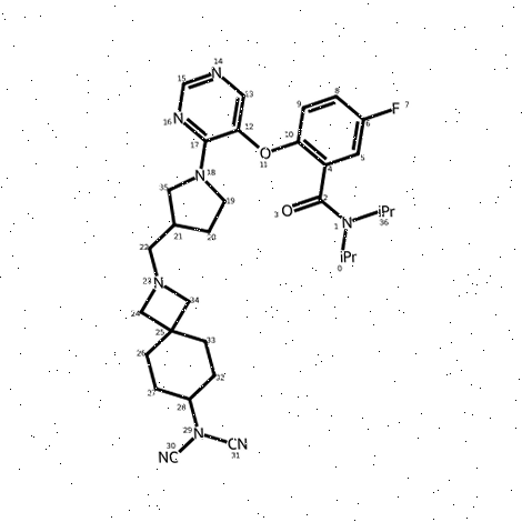 CC(C)N(C(=O)c1cc(F)ccc1Oc1cncnc1N1CCC(CN2CC3(CCC(N(C#N)C#N)CC3)C2)C1)C(C)C